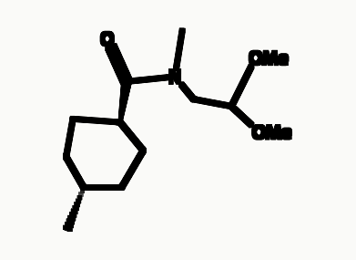 COC(CN(C)C(=O)[C@H]1CC[C@H](C)CC1)OC